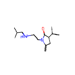 C=C1CC(C(C)C)C(=O)N1CCNCC(C)C